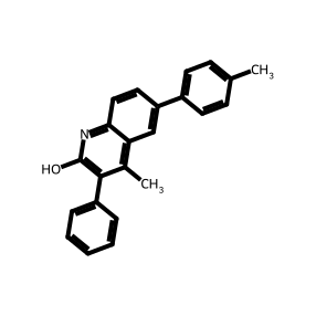 Cc1ccc(-c2ccc3nc(O)c(-c4ccccc4)c(C)c3c2)cc1